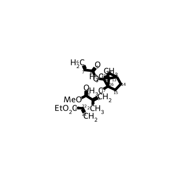 C=C(C)C(=O)OC.C=CC(=O)OC1CC2CCC1(C)C2(C)C.C=CC(=O)OCC